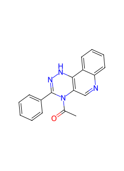 CC(=O)N1C(c2ccccc2)=NNc2c1cnc1ccccc21